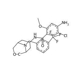 COc1cc(N)c(Cl)cc1C(=O)NC1CC2COCC(C1)N2Cc1cccc(C(F)(F)F)c1